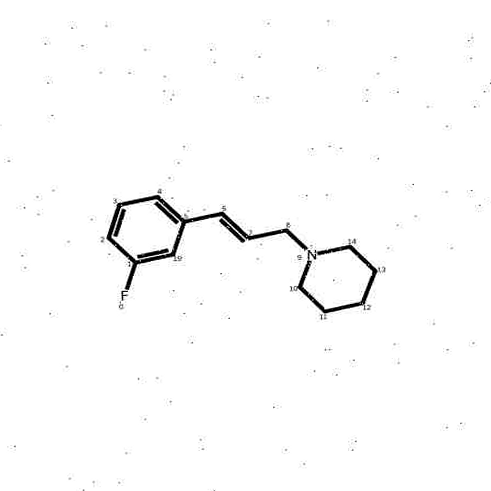 Fc1cccc(C=CCN2C[CH]CCC2)c1